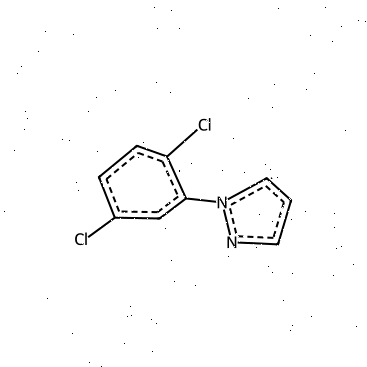 Clc1ccc(Cl)c(-n2[c]ccn2)c1